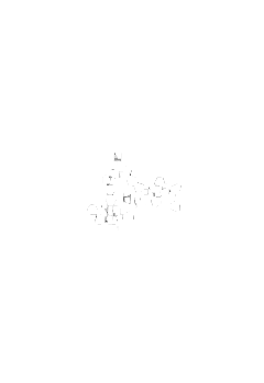 Cc1ccccc1N(c1ccc2cc3c(cc2c1)oc1cc(C#N)c2oc4cc5cc(N(c6ccccc6C)c6cccc7c6oc6c(-c8ccccc8)cccc67)ccc5cc4c2c13)c1cccc2c1oc1c(-c3ccccc3)cccc12